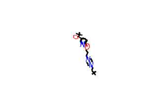 CC(C)(C)CCN1CCN(CCCOc2ccc(C(=O)C(C)(C)C)cn2)CC1